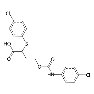 O=C(Nc1ccc(Cl)cc1)OCCC(Sc1ccc(Cl)cc1)C(=O)O